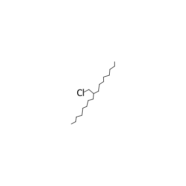 CCCCCCCCC(CCl)CCCCCCCC